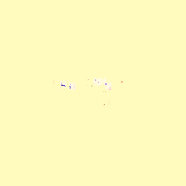 Cc1cc(-c2[nH]c3ccc(C4CCN(CC(=O)N(C)C)CC4)cc3c2C(C)C)cn(CCO)c1=O